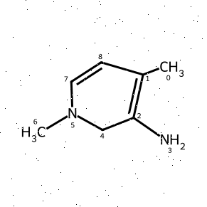 CC1=C(N)CN(C)C=C1